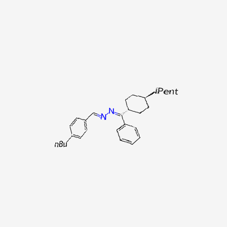 CCCCc1ccc(C=NN=C(c2ccccc2)[C@H]2CC[C@H](C(C)CCC)CC2)cc1